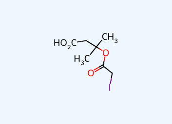 CC(C)(CC(=O)O)OC(=O)CI